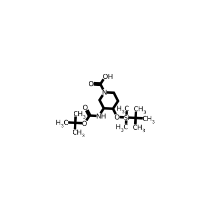 CC(C)(C)OC(=O)NC1CN(C(=O)O)CCC1O[Si](C)(C)C(C)(C)C